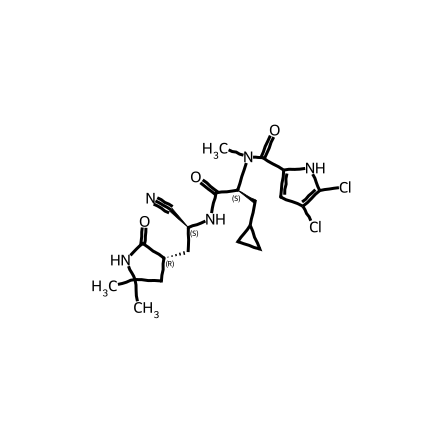 CN(C(=O)c1cc(Cl)c(Cl)[nH]1)[C@@H](CC1CC1)C(=O)N[C@H](C#N)C[C@@H]1CC(C)(C)NC1=O